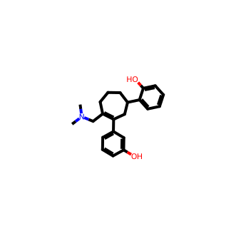 CN(C)CC1=C(c2cccc(O)c2)CC(c2ccccc2O)CCC1